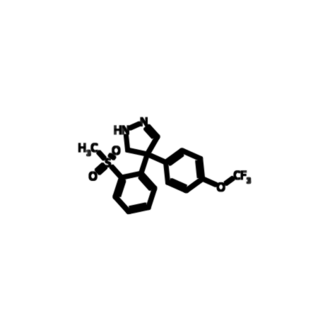 CS(=O)(=O)c1ccccc1C1(c2ccc(OC(F)(F)F)cc2)C=NNC1